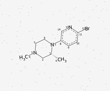 C[C@@H]1CN(C)CCN1c1ccc(Br)nc1